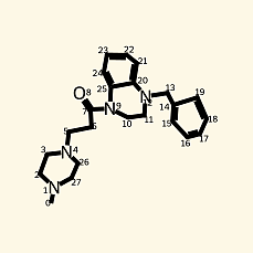 CN1CCN(CCC(=O)N2CCN(Cc3ccccc3)c3ccccc32)CC1